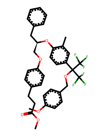 COC(=O)CCc1ccc(OC[C@@H](Cc2ccccc2)Oc2ccc(C(OCc3ccc(OC)cc3)(C(F)(F)F)C(F)(F)F)cc2C)cc1